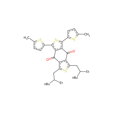 CCCCC(CC)Cc1sc(CC(CC)CCCC)c2c1C(=O)c1c(-c3ccc(C)s3)sc(-c3ccc(C)s3)c1C2=O